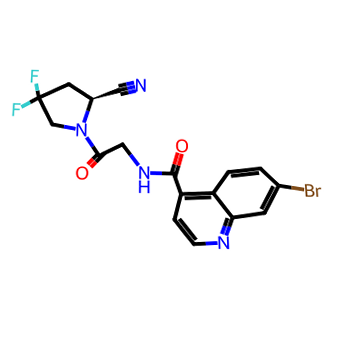 N#C[C@@H]1CC(F)(F)CN1C(=O)CNC(=O)c1ccnc2cc(Br)ccc12